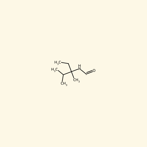 CCC(C)(N[C]=O)C(C)C